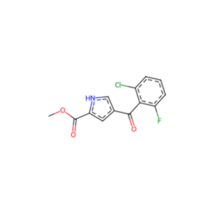 COC(=O)c1cc(C(=O)c2c(F)cccc2Cl)c[nH]1